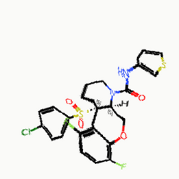 O=C(Nc1ccsc1)N1CCC[C@]2(S(=O)(=O)c3ccc(Cl)cc3)c3c(F)ccc(F)c3OC[C@H]12